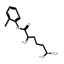 Cc1ccccc1NC(=O)C(N)CCC[C@H](N)C(=O)O